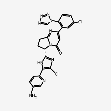 Nc1ccc(-c2[nH]c([C@@H]3CCc4nc(-c5cc(Cl)ccc5-n5cnnn5)cc(=O)n43)nc2Cl)nc1